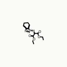 CCOC(=O)C(=Nn1nnc2c1=CCCC=2)C(=O)OCC